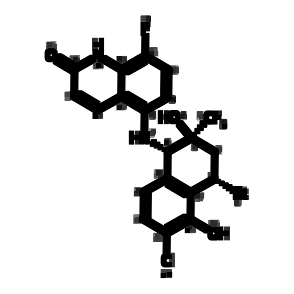 CC[C@H]1C[C@@](O)(C(F)(F)F)[C@@H](Nc2ccc(F)c3[nH]c(=O)ccc23)c2ccc(Cl)c(O)c21